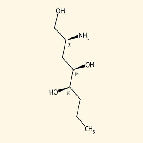 CCC[C@@H](O)[C@H](O)C[C@H](N)CO